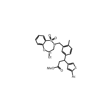 CC[C@@H]1CN(Cc2cc(C(CC(=O)OC)c3csc(C(C)=O)c3)ccc2C)S(=O)(=O)c2ccccc2O1